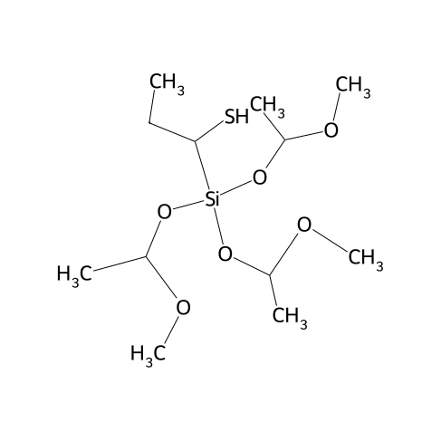 CCC(S)[Si](OC(C)OC)(OC(C)OC)OC(C)OC